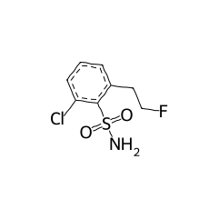 NS(=O)(=O)c1c(Cl)cccc1CCF